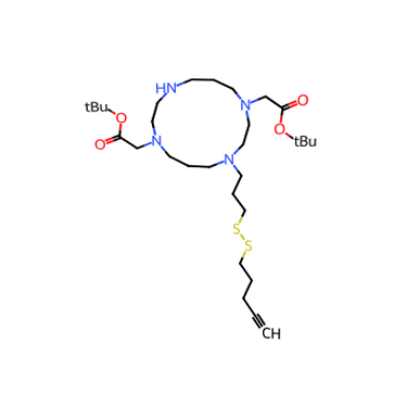 C#CCCCSSCCCN1CCCN(CC(=O)OC(C)(C)C)CCNCCCN(CC(=O)OC(C)(C)C)CC1